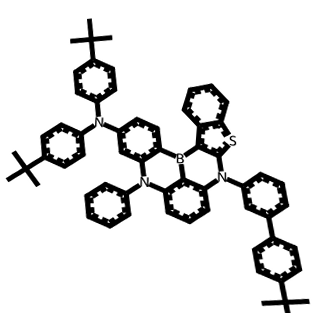 CC(C)(C)c1ccc(-c2cccc(N3c4cccc5c4B(c4ccc(N(c6ccc(C(C)(C)C)cc6)c6ccc(C(C)(C)C)cc6)cc4N5c4ccccc4)c4c3sc3ccccc43)c2)cc1